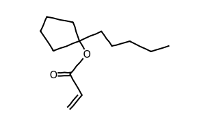 C=CC(=O)OC1(CCCCC)CCCC1